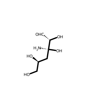 N[C@](O)(C[C@H](O)CO)[C@@H](O)C=O